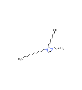 CCCCCCCCCCN1C=CN(CCC)C1CCCCCCC